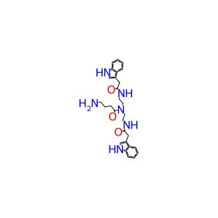 NCCCC(=O)N(CCNC(=O)Cc1c[nH]c2ccccc12)CCNC(=O)Cc1c[nH]c2ccccc12